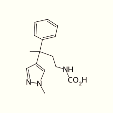 Cn1cc(C(C)(CCNC(=O)O)c2ccccc2)cn1